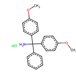 COc1ccc(C(N)(c2ccccc2)c2ccc(OC)cc2)cc1.Cl